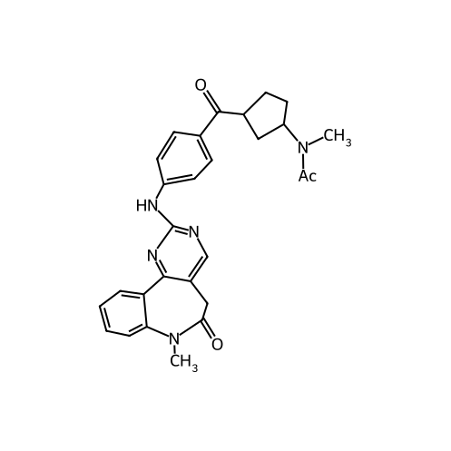 CC(=O)N(C)C1CCC(C(=O)c2ccc(Nc3ncc4c(n3)-c3ccccc3N(C)C(=O)C4)cc2)C1